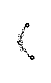 C=C(CC(=O)OCC(=O)OCCOCCc1ccccc1)C(=O)OCC(=O)OCCOCCc1ccccc1